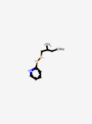 COCC(C)CSSc1ccccn1